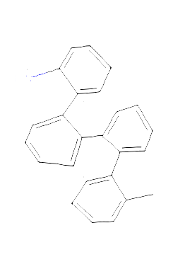 Cc1ccccc1-c1ccccc1-c1ccccc1-c1ccccc1N